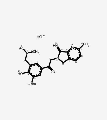 CC(=O)N(C)Cc1cc(C(=O)CN2Cc3ccc(C)nc3C2=N)cc(C(C)(C)C)c1O.Cl